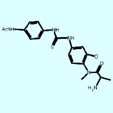 CC(=O)Nc1ccc(NC(=S)Nc2ccc(N(C)C(=O)C(C)N)c(Cl)c2)cc1